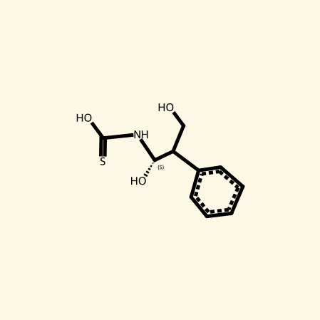 OCC(c1ccccc1)[C@H](O)NC(O)=S